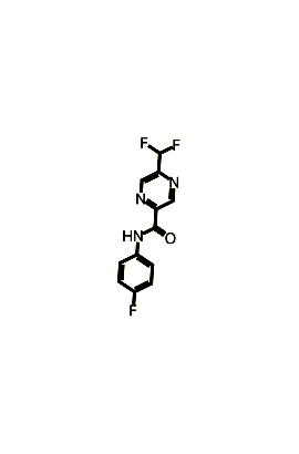 O=C(Nc1ccc(F)cc1)c1cnc(C(F)F)cn1